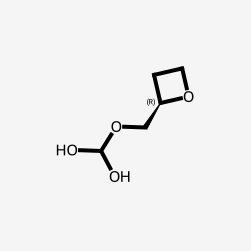 OC(O)OC[C@H]1CCO1